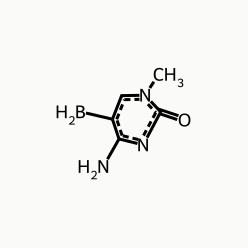 Bc1cn(C)c(=O)nc1N